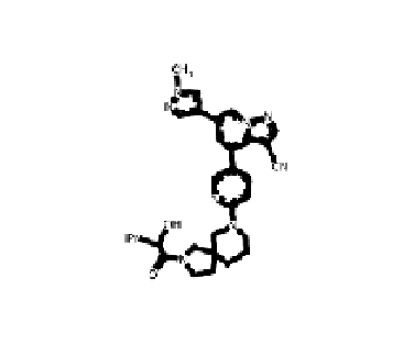 CC(C)C(O)C(=O)N1CCC2(CCCN(c3ccc(-c4cc(-c5cnn(C)c5)cn5ncc(C#N)c45)cn3)C2)C1